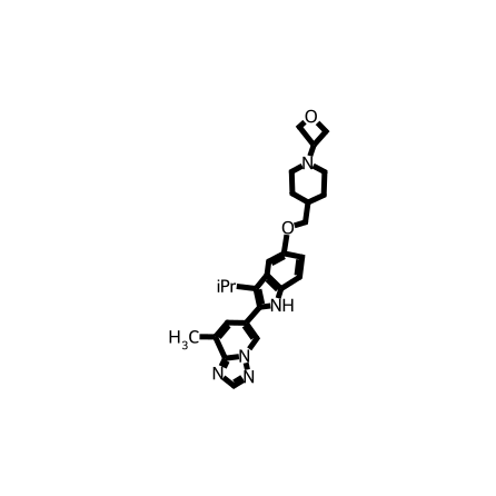 Cc1cc(-c2[nH]c3ccc(OCC4CCN(C5COC5)CC4)cc3c2C(C)C)cn2ncnc12